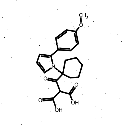 COc1ccc(-c2cccn2C2(C(=O)C(C(=O)O)C(=O)O)CCCCC2)cc1